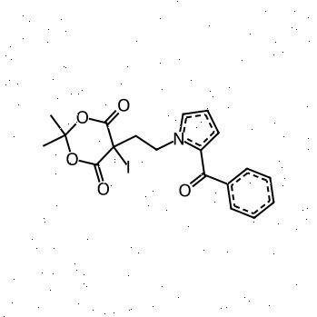 CC1(C)OC(=O)C(I)(CCn2cccc2C(=O)c2ccccc2)C(=O)O1